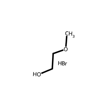 Br.COCCO